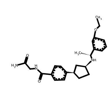 CCOc1cccc([C@@H](C)N[C@H]2CC[C@@H](c3ccc(C(=O)NCC(N)=O)cc3)C2)c1